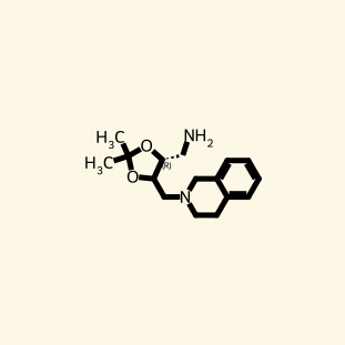 CC1(C)OC(CN2CCc3ccccc3C2)[C@@H](CN)O1